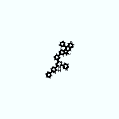 CC1(C)c2cc(-c3cccc(C4=CC(c5ccc(-c6ccccc6)cc5)NC(c5ccccc5)=N4)c3)ccc2-c2c1cc1ccccc1c2-c1ccccc1